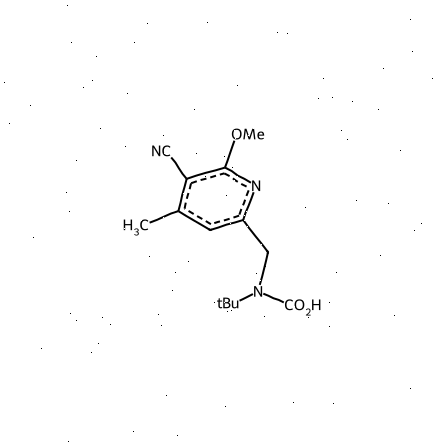 COc1nc(CN(C(=O)O)C(C)(C)C)cc(C)c1C#N